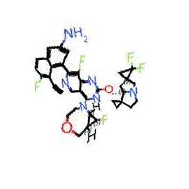 C#Cc1c(F)ccc2cc(N)cc(-c3ncc4c(N5CCOC[C@H]6[C@H](F)[C@H]65)nc(OC[C@]56C[C@@]7(CN5CCC65CC5)CC7(F)F)nc4c3F)c12